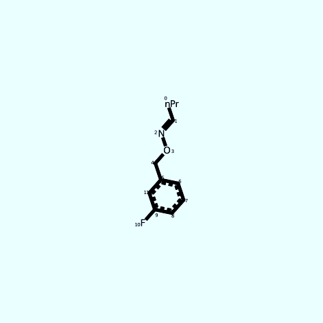 CCC/[C]=N/OCc1cccc(F)c1